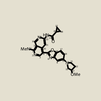 CNc1ncc(-c2nc3cc(N4CCC(OC)C4)ccc3o2)c2cc(NC(=O)C3CC3)ncc12